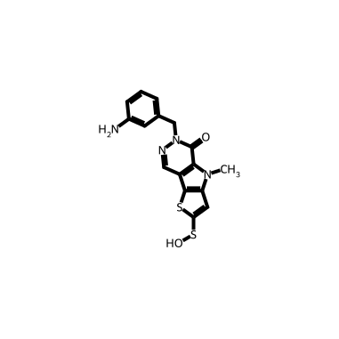 Cn1c2cc(SO)sc2c2cnn(Cc3cccc(N)c3)c(=O)c21